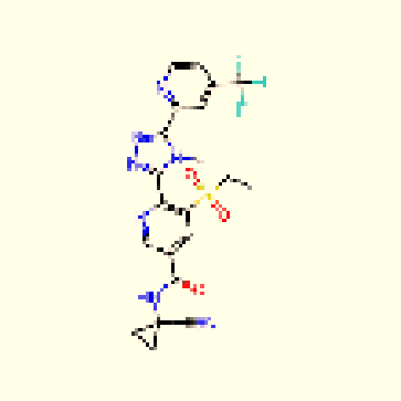 CCS(=O)(=O)c1cc(C(=O)NC2(C#N)CC2)cnc1-c1nnc(-c2cc(C(F)(F)F)ccn2)n1C